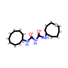 O=C(NC(=O)NC1CCCCCCCC1)NC1CCCCCCCC1